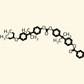 CCC(CC)Oc1ccc(C(C)(C)c2ccc(OC(=O)Oc3ccc(C(C)(C)c4ccc(OC(=O)c5ccccc5)cc4)cc3)cc2)cc1